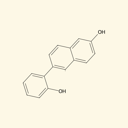 Oc1ccc2[c]c(-c3ccccc3O)ccc2c1